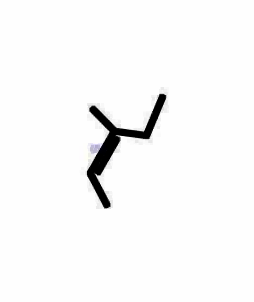 C/C=C(/C)CC